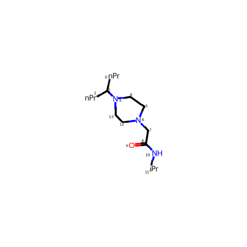 CCCC(CCC)N1CCN(CC(=O)NC(C)C)CC1